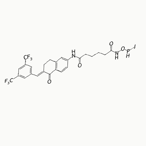 O=C(CCCCC(=O)Nc1ccc2c(c1)CC/C(=C\c1cc(C(F)(F)F)cc(C(F)(F)F)c1)C2=O)NOPI